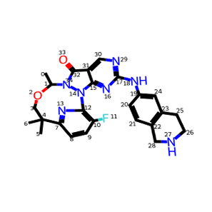 CC1OCC(C)(C)c2ccc(F)c(n2)-n2c3nc(Nc4ccc5c(c4)CCNC5)ncc3c(=O)n21